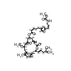 COC(=O)NC/C=C\c1nc(CC/C=C\C(=O)O[C@@H]2C[C@H]3C[C@H](OC)C[C@H]4O[C@@H](CC[C@@H]4C)C[C@H](/C=C/CC(C)C)OC(=O)C[C@@H](C2)O3)co1